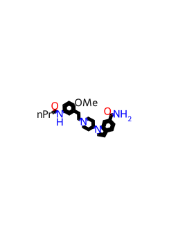 CCCC(=O)Nc1ccc(OC)c(CCN2CCC(n3ccc4ccc(C(N)=O)cc43)CC2)c1